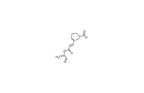 C[C@H](C=O)OC(=O)/C=C/C1=CCCC([N+](=O)[O-])C1